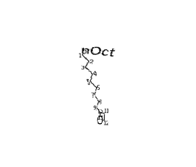 CCCCCCCCCCCCCCCC[CH]C1CCO1